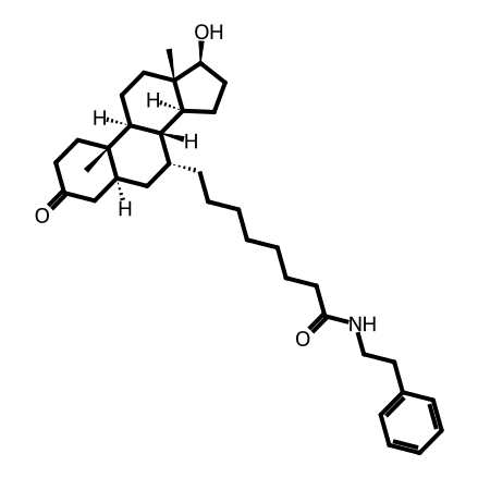 C[C@]12CCC(=O)C[C@@H]1C[C@@H](CCCCCCCC(=O)NCCc1ccccc1)[C@@H]1[C@@H]2CC[C@]2(C)[C@@H](O)CC[C@@H]12